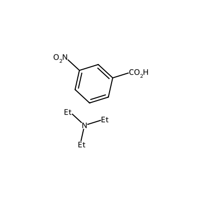 CCN(CC)CC.O=C(O)c1cccc([N+](=O)[O-])c1